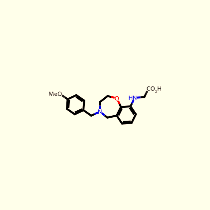 COc1ccc(CN2CCOc3c(cccc3NCC(=O)O)C2)cc1